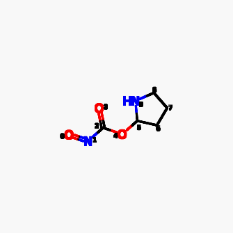 O=NC(=O)OC1CCCN1